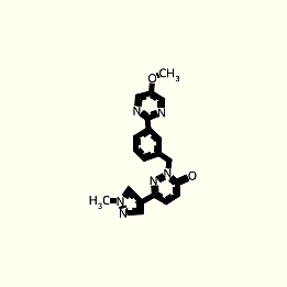 COc1cnc(-c2cccc(Cn3nc(-c4cnn(C)c4)ccc3=O)c2)nc1